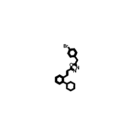 Brc1ccc(Cc2nnc(/C=C/c3ccccc3C3CCCCC3)o2)cc1